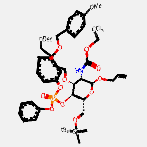 C=CCO[C@H]1O[C@H](CO[Si](C)(C)C(C)(C)C)[C@@H](OP(=O)(Oc2ccccc2)Oc2ccccc2)[C@H](OCC[C@H](CCCCCCCCCCC)OCc2ccc(OC)cc2)[C@@H]1NC(=O)OCC(Cl)(Cl)Cl